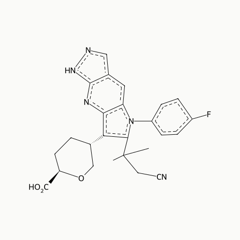 CC(C)(CC#N)c1c([C@H]2CC[C@H](C(=O)O)OC2)c2nc3[nH]ncc3cc2n1-c1ccc(F)cc1